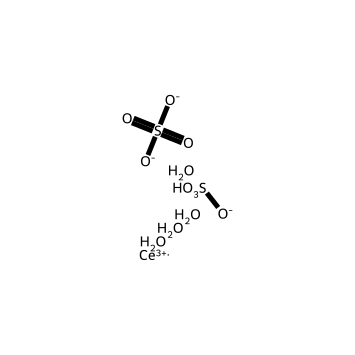 O.O.O.O.O=S(=O)([O-])O.O=S(=O)([O-])[O-].[Ce+3]